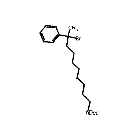 CCCCCCCCCCCCCCCCCCC(C)(Br)c1ccccc1